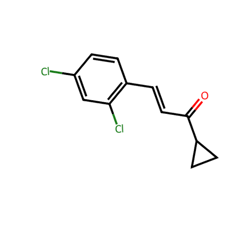 O=C(C=Cc1ccc(Cl)cc1Cl)C1CC1